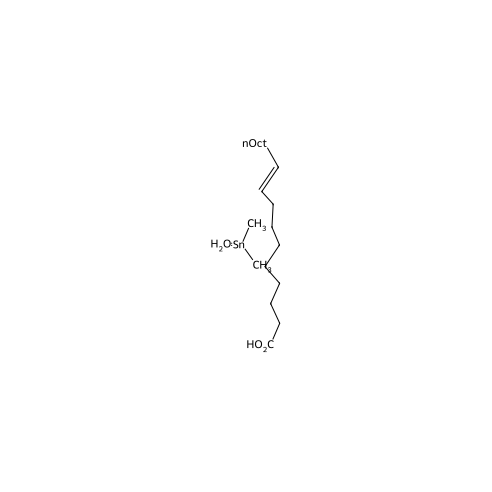 CCCCCCCCC=CCCCCCCCC(=O)O.O.[CH3][Sn][CH3]